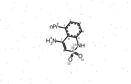 CCCc1cccc2c1C(N)=CS(=O)(=O)N2